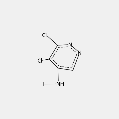 Clc1nncc(NI)c1Cl